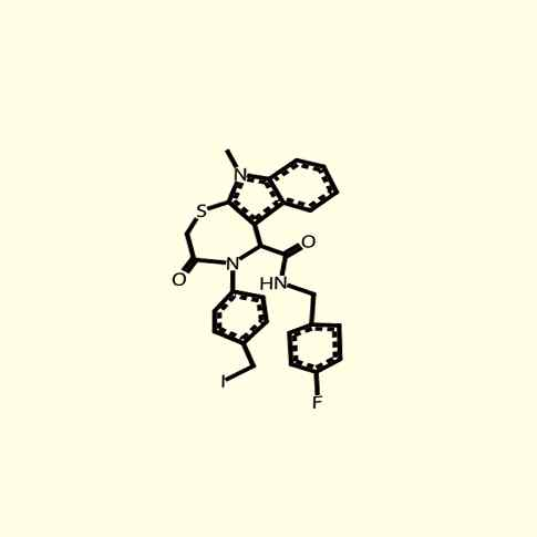 Cn1c2c(c3ccccc31)C(C(=O)NCc1ccc(F)cc1)N(c1ccc(CI)cc1)C(=O)CS2